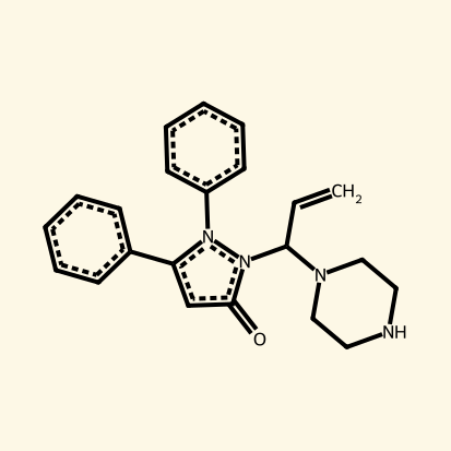 C=CC(N1CCNCC1)n1c(=O)cc(-c2ccccc2)n1-c1ccccc1